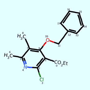 CCOC(=O)c1c(Cl)nc(C)c(C)c1OCc1ccccc1